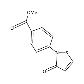 COC(=O)c1ccc(-n2sccc2=O)cc1